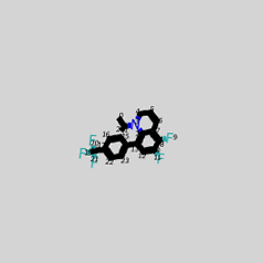 CC(C)N1CC=Cc2c(F)c(F)cc(-c3ccc(C(F)(F)F)cc3)c21